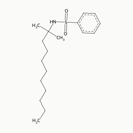 CCCCCCCCCC(C)(C)NS(=O)(=O)c1ccccc1